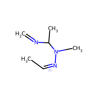 C=NC(C)N(C)/N=C\C